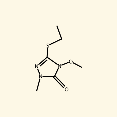 CCSc1nn(C)c(=O)n1OC